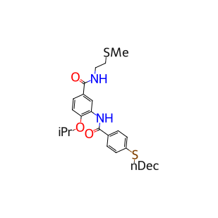 CCCCCCCCCCSc1ccc(C(=O)Nc2cc(C(=O)NCCSC)ccc2OC(C)C)cc1